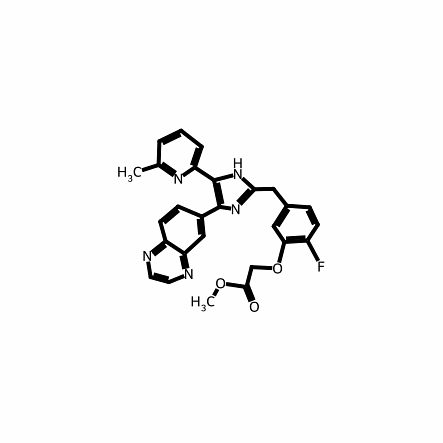 COC(=O)COc1cc(Cc2nc(-c3ccc4nccnc4c3)c(-c3cccc(C)n3)[nH]2)ccc1F